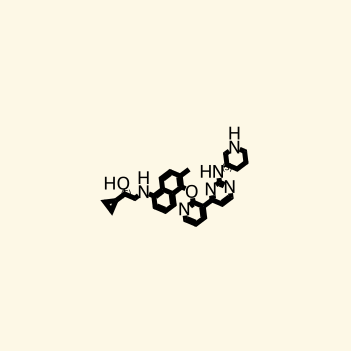 Cc1ccc2c(NC[C@@H](O)C3CC3)cccc2c1Oc1ncccc1-c1ccnc(N[C@H]2CCCNC2)n1